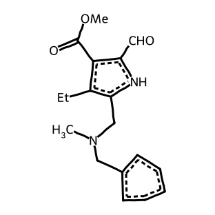 CCc1c(CN(C)Cc2ccccc2)[nH]c(C=O)c1C(=O)OC